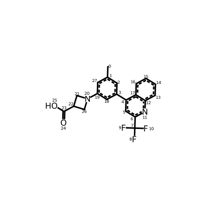 Cc1cc(-c2cc(C(F)(F)F)nc3ccccc23)cc(N2CC(C(=O)O)C2)c1